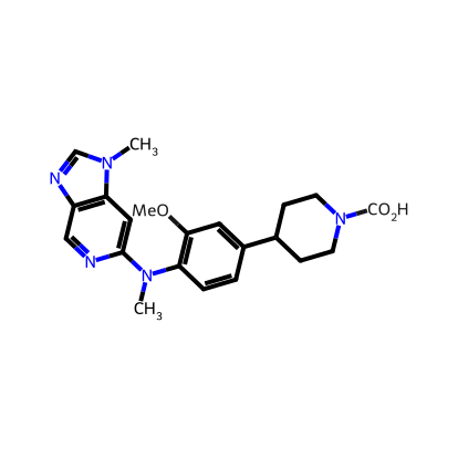 COc1cc(C2CCN(C(=O)O)CC2)ccc1N(C)c1cc2c(cn1)ncn2C